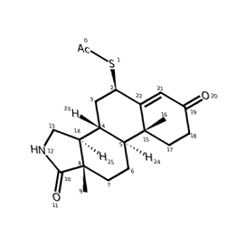 CC(=O)S[C@@H]1C[C@@H]2[C@H](CC[C@]3(C)C(=O)NC[C@@H]23)[C@@]2(C)CCC(=O)C=C12